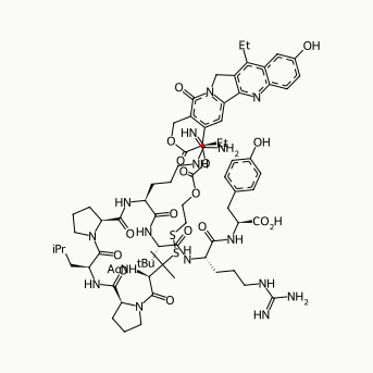 CCc1c2c(nc3ccc(O)cc13)-c1cc3c(c(=O)n1C2)COC(=O)[C@@]3(CC)OC(=O)OCCSSC(C)(C)[C@H](NC(C)=O)C(=O)N1CCC[C@H]1C(=O)N[C@@H](CC(C)C)C(=O)N1CCC[C@H]1C(=O)N[C@@H](CCCNC(=N)N)C(=O)N[C@H](C(=O)N[C@@H](CCCNC(=N)N)C(=O)N[C@@H](Cc1ccc(O)cc1)C(=O)O)C(C)(C)C